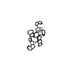 C1=Cc2c(cccc2C2N=C(c3cccc4ccccc34)NC(c3ccccc3-n3c4c(c5c(N6c7ccccc7C7c8ccccc8C=CC76)c6ccccc6cc53)C=CCC4)N2)CC1